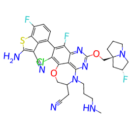 CNCCCN1c2nc(OC[C@@]34CCCN3C[C@H](F)C4)nc3c(F)c(-c4ccc(F)c5sc(N)c(C#N)c45)c(Cl)c(c23)OCC1CC#N